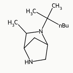 CCCCC(C)(C)N1C2CNC(C2)C1C